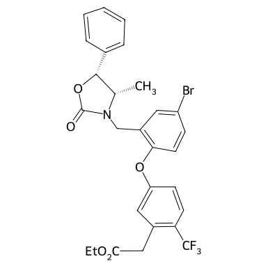 CCOC(=O)Cc1cc(Oc2ccc(Br)cc2CN2C(=O)O[C@H](c3ccccc3)[C@@H]2C)ccc1C(F)(F)F